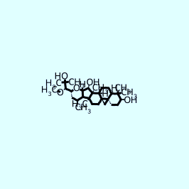 CO[C@@H]([C@H]1C[C@@H](C)C2[C@H](O1)[C@H](O)[C@@]1(C)[C@@H]3CC[C@H]4C(C)(C)[C@@H](O)CC[C@@]45C[C@@]35CC[C@]21C)C(C)(C)O